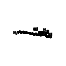 Cl.NCCCCCCCCCCCCc1ccc(NC2CCC(=O)NC2=O)cc1